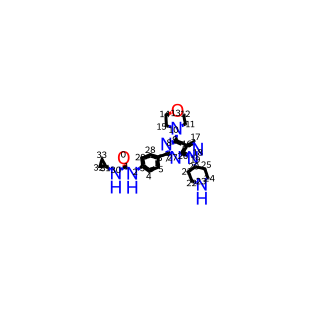 O=C(Nc1ccc(-c2nc(N3CCOCC3)c3cnn(C4CCNCC4)c3n2)cc1)NC1CC1